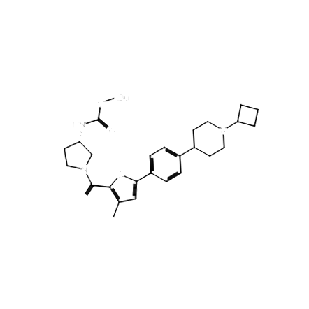 Cc1cc(-c2ccc(C3CCN(C4CCC4)CC3)cc2)sc1C(=O)N1CC[C@H](NC(=O)OC(C)(C)C)C1